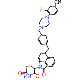 N#Cc1ccc(N2CCN(Cc3ccc(Cc4ccc5c6c(cccc46)C(=O)N5C4CCC(=O)NC4=O)cc3)CC2)c(F)c1